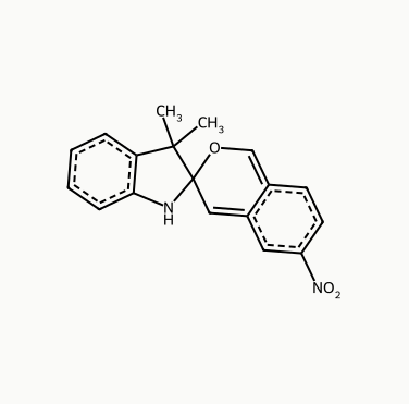 CC1(C)c2ccccc2NC12C=c1cc([N+](=O)[O-])ccc1=CO2